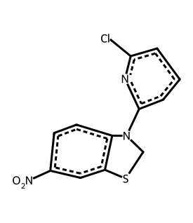 O=[N+]([O-])c1ccc2c(c1)SCN2c1cccc(Cl)n1